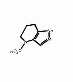 O=C(O)N1CCCc2[nH]ncc21